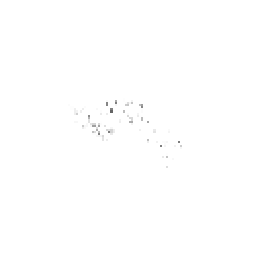 CC(C)(C)OC(=O)N(CCCNc1ncc(Cl)n(CC(=O)NCc2cc(Cl)ccc2-n2cncn2)c1=O)CC1CC1